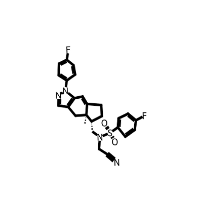 C[C@]12Cc3cnn(-c4ccc(F)cc4)c3C=C1CC[C@@H]2CN(CC#N)S(=O)(=O)c1ccc(F)cc1